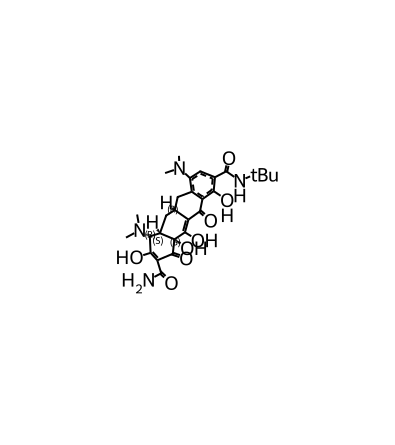 CN(C)c1cc(C(=O)NC(C)(C)C)c(O)c2c1C[C@H]1C[C@H]3[C@@H](N(C)C)C(O)=C(C(N)=O)C(=O)[C@@]3(O)C(O)=C1C2=O